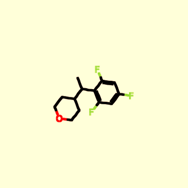 CC(c1c(F)cc(F)cc1F)C1CCOCC1